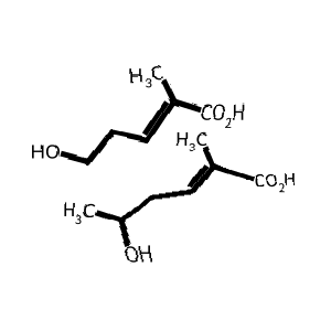 CC(=CCC(C)O)C(=O)O.CC(=CCCO)C(=O)O